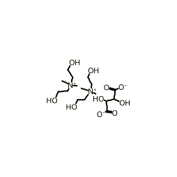 C[N+](C)(CCO)CCO.C[N+](C)(CCO)CCO.O=C([O-])C(O)C(O)C(=O)[O-]